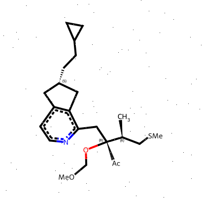 COCO[C@@](Cc1nccc2c1C[C@@H](CCC1CC1)C2)(C(C)=O)[C@@H](C)CSC